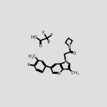 Cc1cc(-c2cnc3c(C)cn(CC(=O)N4CCC4)c3c2)ccc1F.O=C(O)C(F)(F)F